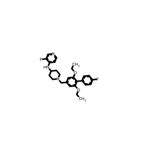 CCOc1cc(CN2CCC(Nc3ccncc3F)CC2)cc(OCC)c1-c1ccc(F)cc1